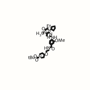 CC[C@@H]1C(=O)N(C)c2cnc(Nc3ccc(C(=O)NCCOC4CCN(C(=O)OC(C)(C)C)CC4)cc3OC)nc2N1C1CCCC1